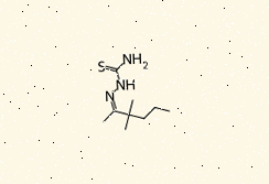 CCCC(C)(C)/C(C)=N\NC(N)=S